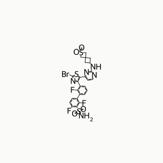 NS(=O)(=O)c1c(F)ccc(-c2cccc(-c3nc(Br)sc3-c3ccnc(NC4CC5(C4)CS(=O)(=O)C5)n3)c2F)c1F